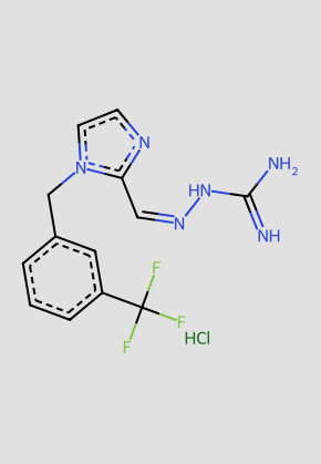 Cl.N=C(N)N/N=C\c1nccn1Cc1cccc(C(F)(F)F)c1